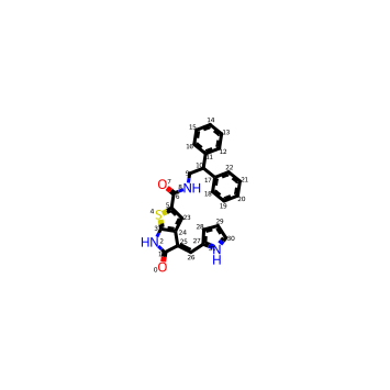 O=C1Nc2sc(C(=O)NCC(c3ccccc3)c3ccccc3)cc2/C1=C\c1ccc[nH]1